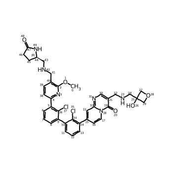 COc1nc(-c2cccc(-c3cccc(-c4ccn5c(=O)c(CNCC6(O)COC6)cnc5c4)c3Cl)c2Cl)ccc1CNC[C@H]1CCC(=O)N1